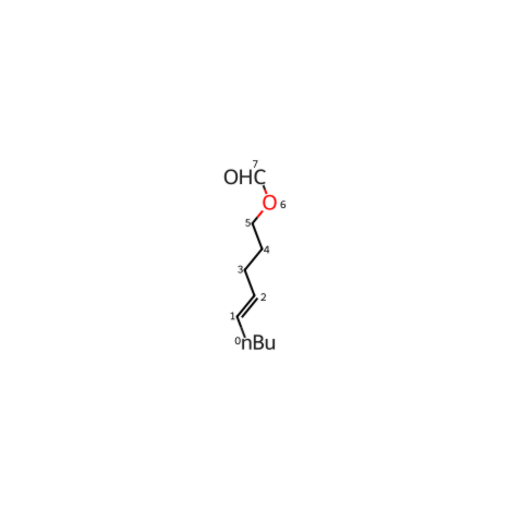 CCCCC=CCCCOC=O